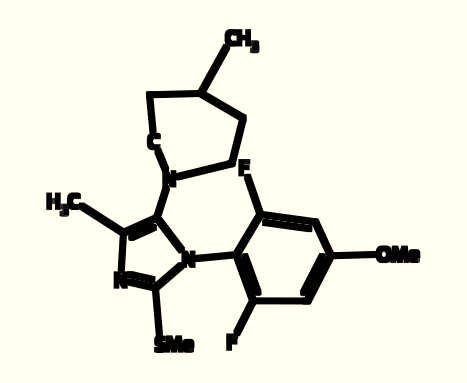 COc1cc(F)c(-n2c(SC)nc(C)c2N2CCC(C)CC2)c(F)c1